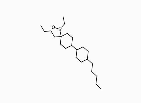 CCCCCC1CCC(C2CCC(CCCC)([S+]([O-])CC)CC2)CC1